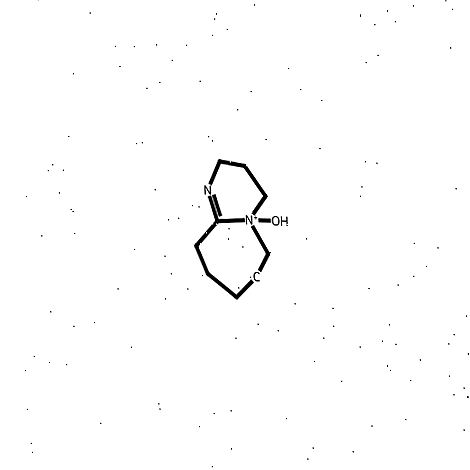 O[N+]12CCCCCC1=NCCC2